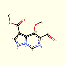 COC(=O)c1cnn2cnc(C=O)c(OC)c12